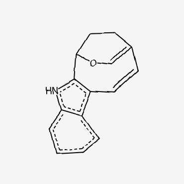 C1=Cc2c([nH]c3ccccc23)C2CCC1=CO2